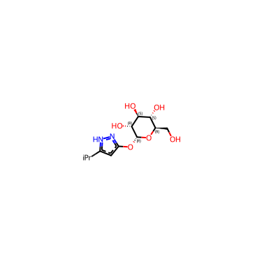 CC(C)c1cc(O[C@H]2O[C@H](CO)[C@@H](O)[C@H](O)[C@H]2O)n[nH]1